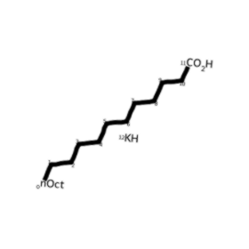 CCCCCCCCCCCCCCCCCCC(=O)O.[KH]